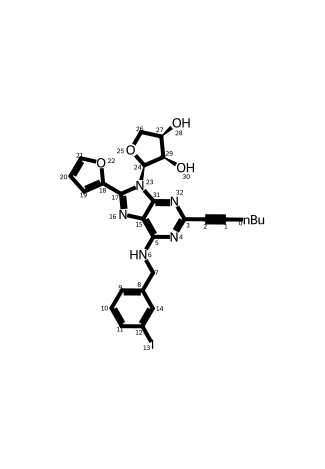 CCCCC#Cc1nc(NCc2cccc(I)c2)c2nc(-c3ccco3)n([C@H]3OC[C@@H](O)[C@H]3O)c2n1